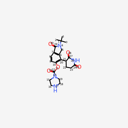 CC(C)(C)N1Cc2c(ccc(OC(=O)N3CCNCC3)c2C2CCC(=O)NC2=O)C1=O